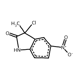 CC1(Cl)C(=O)Nc2ccc([N+](=O)[O-])cc21